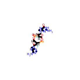 Nc1nc2c(ncn2[C@@H]2OC3OPC[C@H]4[C@H](F)[C@H](n5cnc6c(N)ncnc65)O[C@@H]4CO[PH](=O)O[C@@H]2[C@@H]3F)c(=O)[nH]1